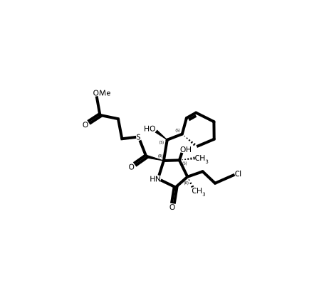 COC(=O)CCSC(=O)[C@]1([C@@H](O)[C@@H]2C=CCCC2)NC(=O)[C@](C)(CCCl)[C@]1(C)O